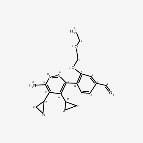 CCOCOc1cc(C=O)ccc1-c1nnc(N)c(C2CC2)c1C1CC1